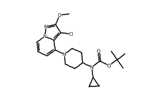 COc1nn2cccc(N3CCC(N(C(=O)OC(C)(C)C)C4CC4)CC3)c2c1Cl